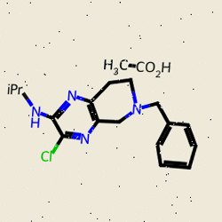 CC(=O)O.CC(C)Nc1nc2c(nc1Cl)CN(Cc1ccccc1)CC2